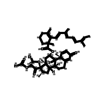 CC=C(C)C=CC=C(C)C=CC1=C(C)CCCC1(C)C(=O)O[C@H]1C[C@@]2(C)[C@@H](C[C@H](C)[C@]2(OC(=O)CC)C(=O)COC(=O)CC)[C@@H]2CCC3=CC(=O)C=C[C@]3(C)C12F